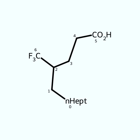 CCCCCCCCC(CCC(=O)O)C(F)(F)F